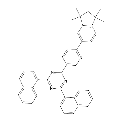 CC1(C)CC(C)(C)c2cc(-c3ccc(-c4nc(-c5cccc6ccccc56)nc(-c5cccc6ccccc56)n4)cn3)ccc21